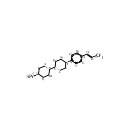 CCC[C@H]1CC[C@H]([C@H]2CC[C@H](c3ccc(C=CC(F)(F)F)cc3)CC2)CC1